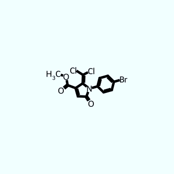 COC(=O)C1=CC(=O)N(c2ccc(Br)cc2)C1=C(Cl)Cl